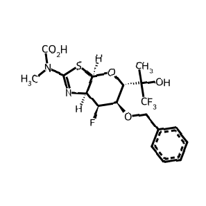 CN(C(=O)O)C1=N[C@@H]2[C@H](F)[C@H](OCc3ccccc3)[C@@H](C(C)(O)C(F)(F)F)O[C@@H]2S1